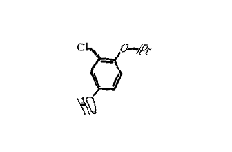 CC(C)Oc1ccc(O)cc1Cl